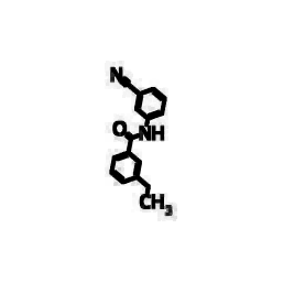 CCc1cccc(C(=O)Nc2cccc(C#N)c2)c1